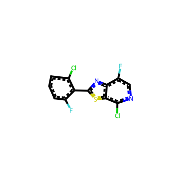 Fc1cccc(Cl)c1-c1nc2c(F)cnc(Cl)c2s1